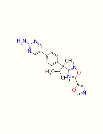 CC(C)C(C)(c1ccc(-c2cnc(N)nc2)cc1)c1noc(-c2cnco2)n1